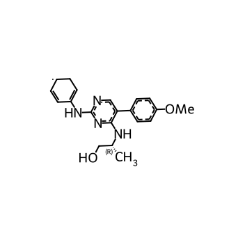 COc1ccc(-c2cnc(NC3=CC[CH]C=C3)nc2N[C@H](C)CO)cc1